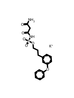 NC(=O)CC(=O)NP(=O)([O-])OCCCc1cccc(Oc2ccccc2)c1.[K+]